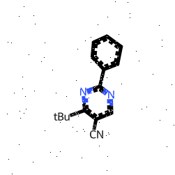 CC(C)(C)c1nc(-c2ccccc2)ncc1C#N